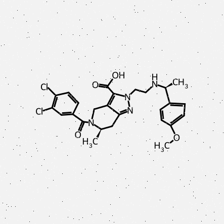 COc1ccc([C@H](C)NCCn2nc3c(c2C(=O)O)CN(C(=O)c2ccc(Cl)c(Cl)c2)[C@H](C)C3)cc1